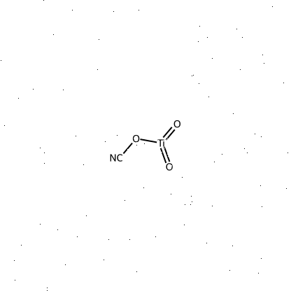 N#C[O][Ti](=[O])=[O]